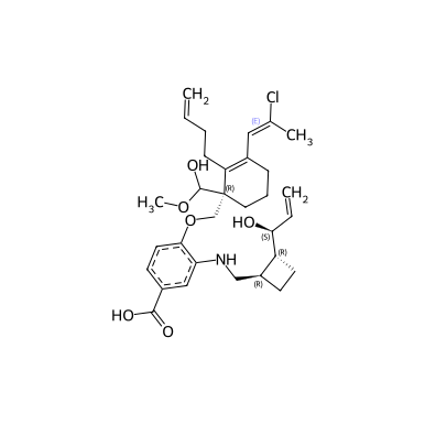 C=CCCC1=C(/C=C(\C)Cl)CCC[C@@]1(COc1ccc(C(=O)O)cc1NC[C@@H]1CC[C@H]1[C@@H](O)C=C)C(O)OC